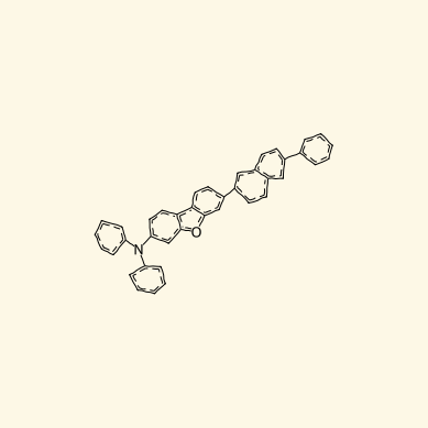 c1ccc(-c2ccc3cc(-c4ccc5c(c4)oc4cc(N(c6ccccc6)c6ccccc6)ccc45)ccc3c2)cc1